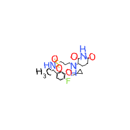 CC(NS(=O)(=O)CCCNC1CCC(=O)NC1=O)c1ccc(F)c(OCC2CC2)c1